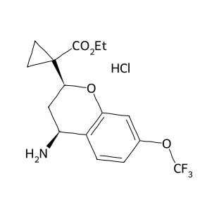 CCOC(=O)C1([C@@H]2C[C@H](N)c3ccc(OC(F)(F)F)cc3O2)CC1.Cl